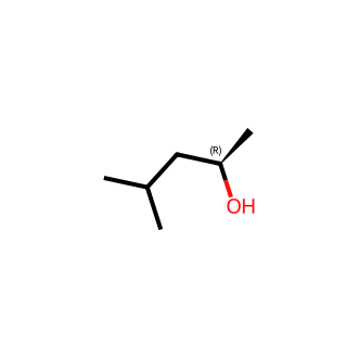 CC(C)C[C@@H](C)O